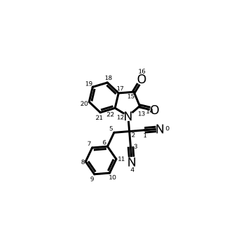 N#CC(C#N)(Cc1ccccc1)N1C(=O)C(=O)c2ccccc21